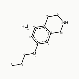 CCCOc1ccc2c(c1)CNCC2.Cl